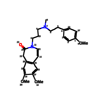 COc1ccc(CCN(C)CCCN2C=Cc3cc(OC)c(OC)cc3CC2=O)cc1